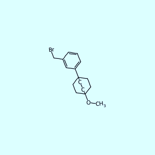 COC12CCC(c3cccc(CBr)c3)(CC1)CC2